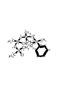 C[Si](C)(Cl)O[Si](C)(C)O[Si](C)(C)O[Si](C)(C)c1ccccc1